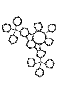 c1ccc(-n2c3ccccc3n3c4ccc([Si](c5ccccc5)(c5ccccc5)c5ccccc5)cc4c4ccc5c6cc([Si](c7ccccc7)(c7ccccc7)c7ccccc7)ccc6n(c6ccccc62)c5c43)cc1